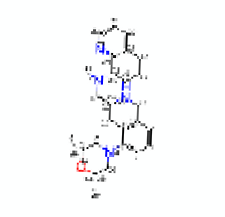 C[C@@H]1CN(c2cccc3c2C[C@@H](CN(C)[C@H]2CCCc4cccnc42)NC3)C[C@H](C)O1